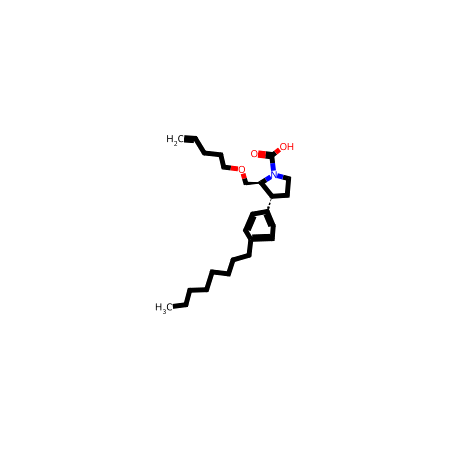 C=CCCCOC[C@@H]1[C@@H](c2ccc(CCCCCCCC)cc2)CCN1C(=O)O